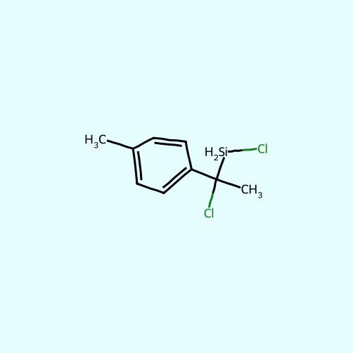 Cc1ccc(C(C)(Cl)[SiH2]Cl)cc1